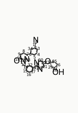 N#Cc1cccc(-c2ccc(=O)n(Cc3cccc(-c4ncc(OC5CCC(O)C5)cn4)c3)n2)c1